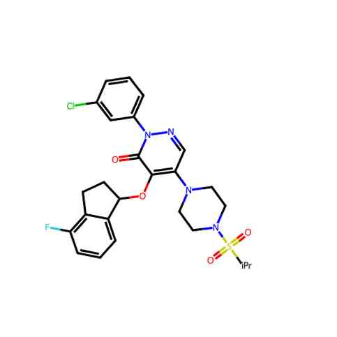 CC(C)S(=O)(=O)N1CCN(c2cnn(-c3cccc(Cl)c3)c(=O)c2OC2CCc3c(F)cccc32)CC1